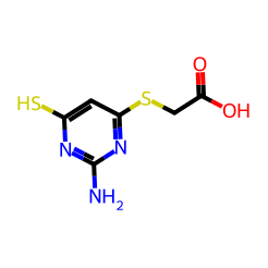 Nc1nc(S)cc(SCC(=O)O)n1